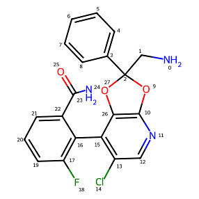 NCC1(c2ccccc2)Oc2ncc(Cl)c(-c3c(F)cccc3C(N)=O)c2O1